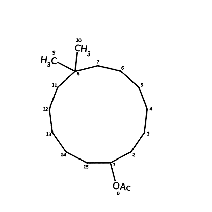 CC(=O)OC1CCCCCCC(C)(C)CCCCC1